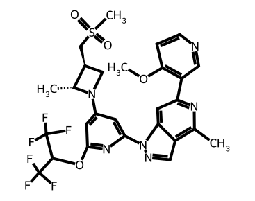 COc1ccncc1-c1cc2c(cnn2-c2cc(N3C[C@H](CS(C)(=O)=O)[C@H]3C)cc(OC(C(F)(F)F)C(F)(F)F)n2)c(C)n1